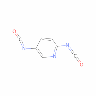 O=C=Nc1ccc(N=C=O)nc1